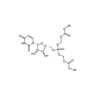 CC(C)OC(=O)OCOP(=O)(OCOC(=O)OC(C)C)OC[C@H]1O[C@@H](n2ccc(=O)[nH]c2=O)[C@H](O)[C@@H]1O